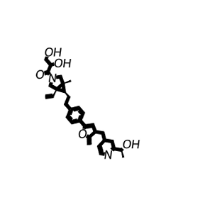 C=C[C@@]12CN(C(=O)C(O)CO)C[C@]1(C)[C@H]2CCc1ccc(C2=CC(CC3C=CN=C([C@H](C)O)C3)C(=C)O2)cc1